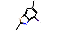 Cc1cc(I)c2nc(C)sc2c1